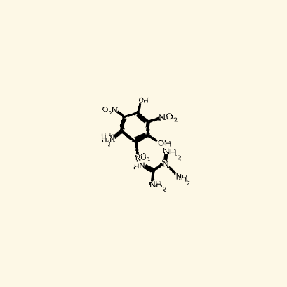 N=C(N)N(N)N.Nc1c([N+](=O)[O-])c(O)c([N+](=O)[O-])c(O)c1[N+](=O)[O-]